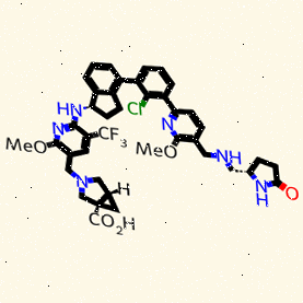 COc1nc(-c2cccc(-c3cccc4c3CC[C@@H]4Nc3nc(OC)c(CN4C[C@@H]5C[C@]5(C(=O)O)C4)cc3C(F)(F)F)c2Cl)ccc1CNC[C@@H]1CCC(=O)N1